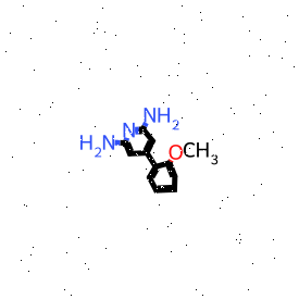 COc1ccccc1-c1cc(N)nc(N)c1